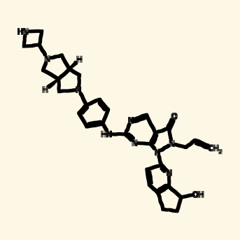 C=CCn1c(=O)c2cnc(Nc3ccc(N4C[C@@H]5CN(C6CNC6)C[C@@H]5C4)cc3)nc2n1-c1ccc2c(n1)C(O)CC2